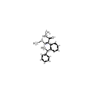 CNC(=O)/C(=N\OC)c1ccccc1C(O)c1ccccc1